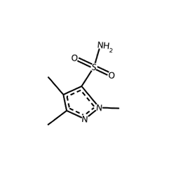 Cc1nn(C)c(S(N)(=O)=O)c1C